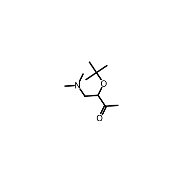 CC(=O)C(CN(C)C)OC(C)(C)C